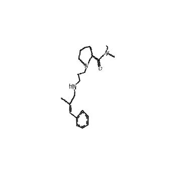 CC(=Cc1ccccc1)CNCCCN1CCCC1C(=O)N(C)C